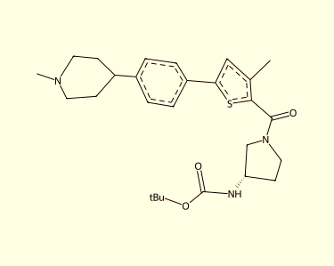 Cc1cc(-c2ccc(C3CCN(C)CC3)cc2)sc1C(=O)N1CC[C@H](NC(=O)OC(C)(C)C)C1